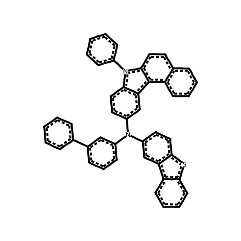 c1ccc(-c2cccc(N(c3ccc4sc5ccccc5c4c3)c3ccc4c(c3)c3c5ccccc5ccc3n4-c3ccccc3)c2)cc1